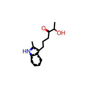 Cc1[nH]c2ccccc2c1CCCC(=O)C(C)O